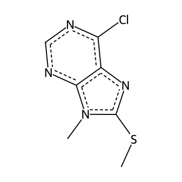 CSc1nc2c(Cl)ncnc2n1C